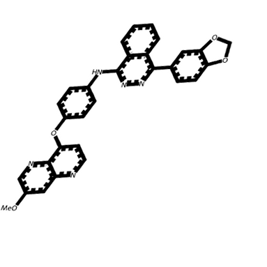 COc1cnc2c(Oc3ccc(Nc4nnc(-c5ccc6c(c5)OCO6)c5ccccc45)cc3)ccnc2c1